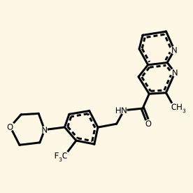 Cc1nc2ncccc2cc1C(=O)NCc1ccc(N2CCOCC2)c(C(F)(F)F)c1